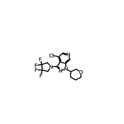 FC1(F)CN(c2nn(C3CCCOC3)c3cncc(Cl)c23)CC1(F)F